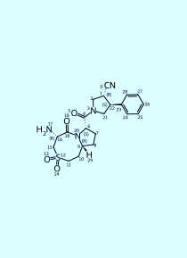 N#C[C@H]1CN(C(=O)[C@@H]2CC[C@@H]3CCS(=O)(=O)C[C@H](N)C(=O)N32)C[C@@H]1c1ccccc1